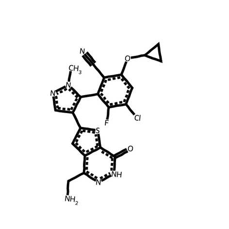 Cn1ncc(-c2cc3c(CN)n[nH]c(=O)c3s2)c1-c1c(F)c(Cl)cc(OC2CC2)c1C#N